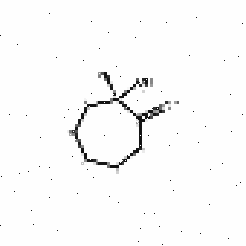 C[C@]1(O)CCCCCC1=O